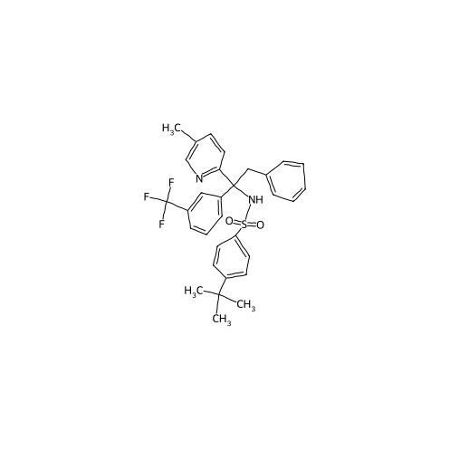 Cc1ccc(C(Cc2ccccc2)(NS(=O)(=O)c2ccc(C(C)(C)C)cc2)c2cccc(C(F)(F)F)c2)nc1